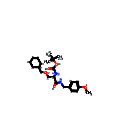 COc1ccc(CNC(=O)[C@@H](COCC2CCCCC2)NC(=O)OC(C)(C)C)cc1